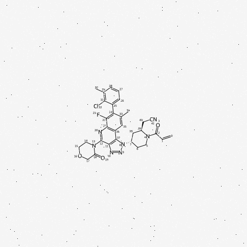 C=CC(=O)N1CC[C@H](n2nnc3c(N4CCOCC4=O)nc4c(F)c(-c5cccc(C)c5Cl)c(C)cc4c32)C[C@H]1CC#N